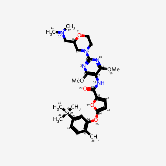 COc1nc(N2CCOC(CN(C)C)C2)nc(OC)c1NC(=O)c1ccc(Oc2cc([Si](C)(C)C)ccc2C)o1